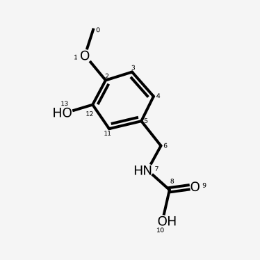 COc1ccc(CNC(=O)O)cc1O